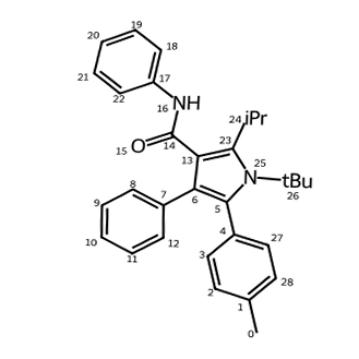 Cc1ccc(-c2c(-c3ccccc3)c(C(=O)Nc3ccccc3)c(C(C)C)n2C(C)(C)C)cc1